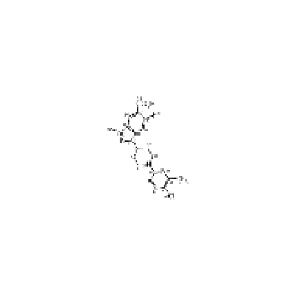 Cc1nn(C2CCN(c3ccc(Cl)c(C(F)(F)F)n3)CC2)c2cc(F)c(C(=O)O)cc12